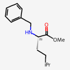 COC(=O)[C@H](CCC(C)C)NCc1ccccc1